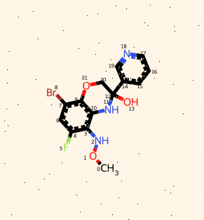 CONc1c(F)cc(Br)c2c1NC(O)(c1cccnc1)CO2